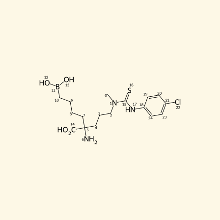 CN(CCCC(N)(CCCCB(O)O)C(=O)O)C(=S)Nc1ccc(Cl)cc1